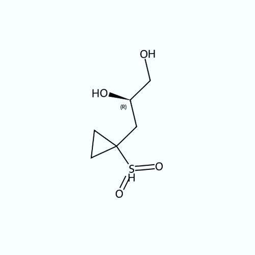 O=[SH](=O)C1(C[C@@H](O)CO)CC1